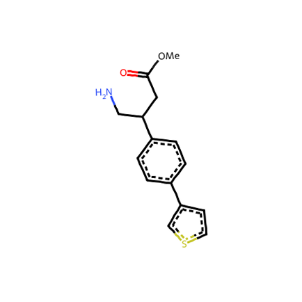 COC(=O)CC(CN)c1ccc(-c2ccsc2)cc1